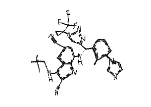 Cc1c([C@H](Nc2cc(C#N)cc3c(NCC(C)(C)C)c(C#N)cnc23)c2cn(C3(C(F)(F)F)CC3)nn2)cccc1-n1ccnc1